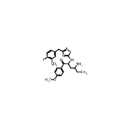 CCC(N)CC(Nc1nc(Cc2ccc(F)c(C)c2)ns1)C(=O)c1ccc(OC)cc1